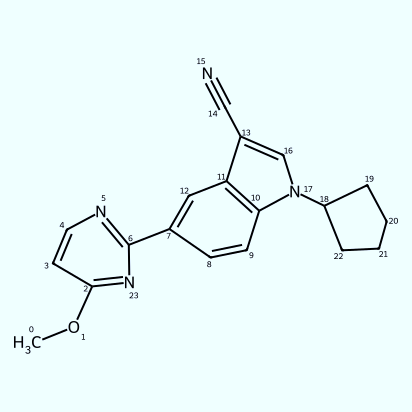 COc1ccnc(-c2ccc3c(c2)c(C#N)cn3C2CCCC2)n1